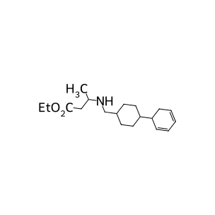 CCOC(=O)CC(C)NCC1CCC(C2C=CC=CC2)CC1